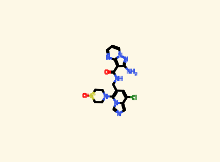 Nc1nn2cccnc2c1C(=O)NCc1cc(Cl)c2cncn2c1N1CC[S+]([O-])CC1